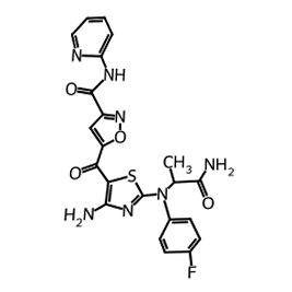 CC(C(N)=O)N(c1ccc(F)cc1)c1nc(N)c(C(=O)c2cc(C(=O)Nc3ccccn3)no2)s1